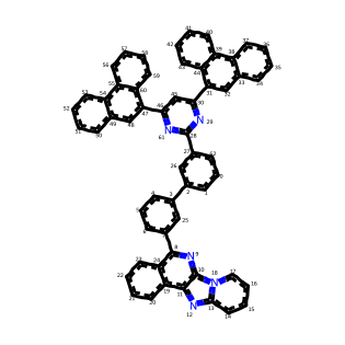 c1cc(-c2cccc(-c3nc4c(nc5ccccn54)c4ccccc34)c2)cc(-c2nc(-c3cc4ccccc4c4ccccc34)cc(-c3cc4ccccc4c4ccccc34)n2)c1